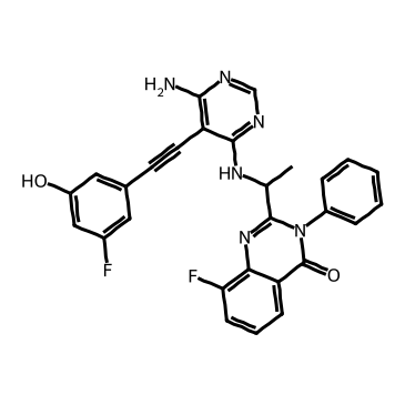 CC(Nc1ncnc(N)c1C#Cc1cc(O)cc(F)c1)c1nc2c(F)cccc2c(=O)n1-c1ccccc1